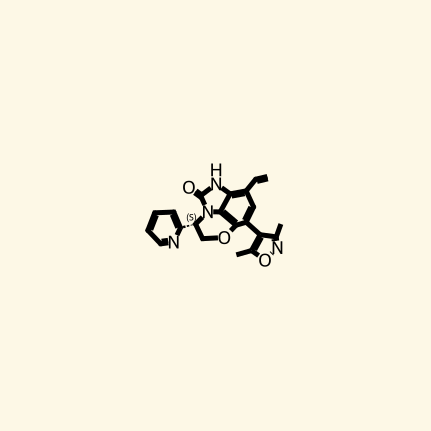 C=Cc1cc(-c2c(C)noc2C)c2c3c1[nH]c(=O)n3[C@@H](c1ccccn1)CO2